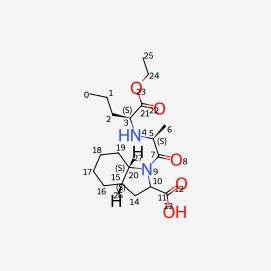 CCC[C@H](N[C@@H](C)C(=O)N1C(C(=O)O)C[C@@H]2CCCC[C@@H]21)C(=O)OCC